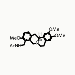 COc1cc2c(cc1OC)[C@@H]1Cc3ccc(OC)c(CNC(C)=O)c3CN1CC2